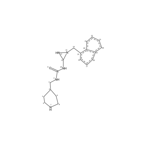 O=C(NCC1CCNCC1)NC1NN1Cc1cccc2ccccc12